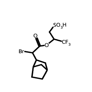 O=C(OC(CS(=O)(=O)O)C(F)(F)F)C(Br)C1CC2CCC1C2